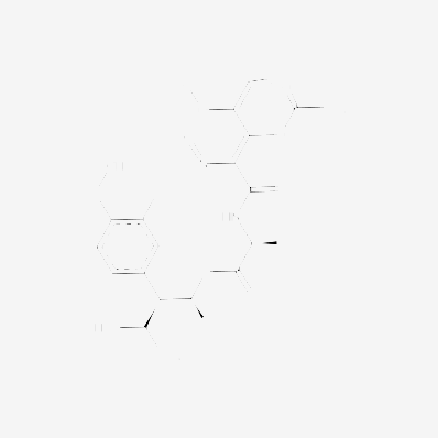 C=N/C(C(=O)N[C@@H](C)C(=O)O[C@@H](C)[C@H](c1ccc(OC)c(F)c1)C(C)C)=C(OC(C)=O)\C(=C/C)OC